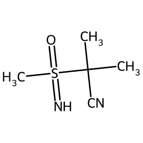 CC(C)(C#N)S(C)(=N)=O